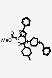 COC(=O)Oc1sc(-c2ccccc2)cc1N(C(=O)C1CCC(C)CC1)C1CCN(Cc2ccccc2)CC1